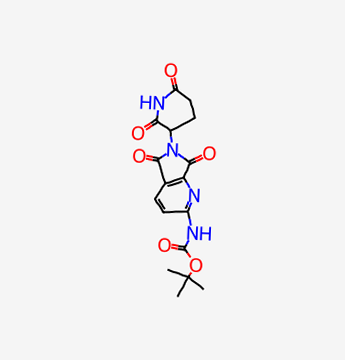 CC(C)(C)OC(=O)Nc1ccc2c(n1)C(=O)N(C1CCC(=O)NC1=O)C2=O